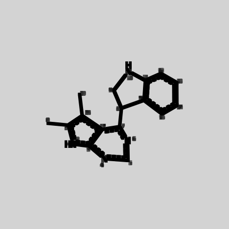 Cc1[nH]c2ncnc(C3CNc4ccccc43)c2c1C